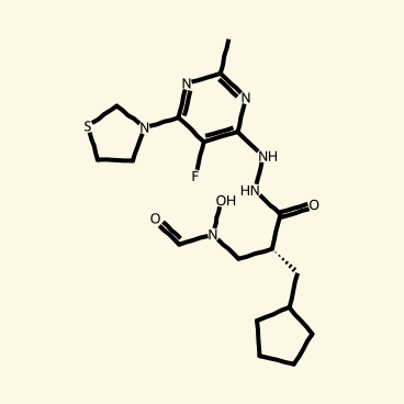 Cc1nc(NNC(=O)[C@H](CC2CCCC2)CN(O)C=O)c(F)c(N2CCSC2)n1